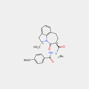 CC[C@H](C)[C@H](NC(=O)c1ccc(OC)cc1)C(=O)[C@@H]1CCc2cccc3c2N(C1=O)[C@H](C(=O)O)C3